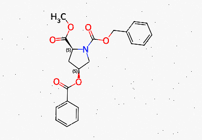 COC(=O)[C@@H]1C[C@H](OC(=O)c2ccccc2)CN1C(=O)OCc1ccccc1